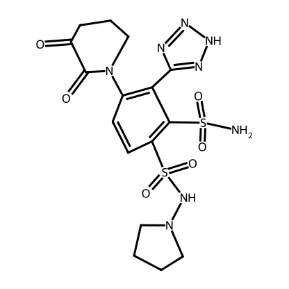 NS(=O)(=O)c1c(S(=O)(=O)NN2CCCC2)ccc(N2CCCC(=O)C2=O)c1-c1nn[nH]n1